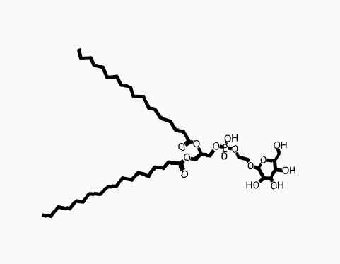 CCCCCCCCCCCCCCCCCC(=O)OCC(COP(=O)(O)OCCOC1OC(CO)C(O)C(O)C1O)OC(=O)CCCCCCCCCCCCCCCCC